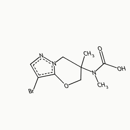 CN(C(=O)O)C1(C)COc2c(Br)cnn2C1